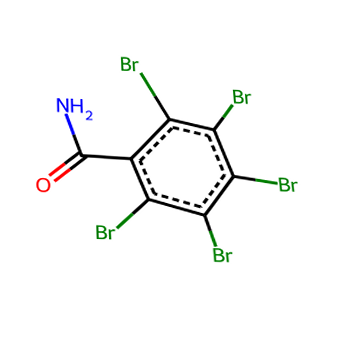 NC(=O)c1c(Br)c(Br)c(Br)c(Br)c1Br